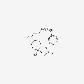 CN(C)C(c1cccc(O)c1)[C@H]1CCCC[C@@]1(C)O.O=C(O)/C=C/C(=O)O